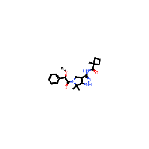 CCOC(C(=O)N1Cc2c(NC(=O)C3(C)CCC3)n[nH]c2C1(C)C)c1ccccc1